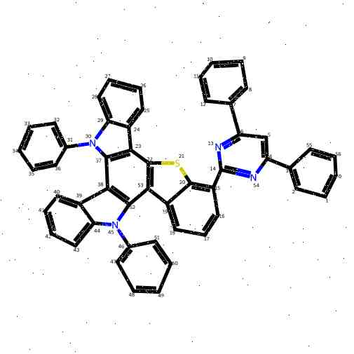 c1ccc(-c2cc(-c3ccccc3)nc(-c3cccc4c3sc3c5c6ccccc6n(-c6ccccc6)c5c5c6ccccc6n(-c6ccccc6)c5c43)n2)cc1